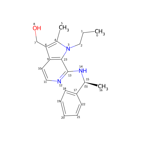 CCCn1c(C)c(CO)c2ccnc(N[C@@H](C)c3ccccc3)c21